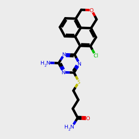 NC(=O)CCCSc1nc(N)nc(-c2c(Cl)cc3c4c(cccc24)COC3)n1